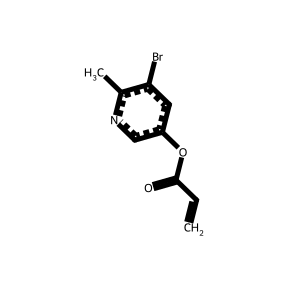 C=CC(=O)Oc1cnc(C)c(Br)c1